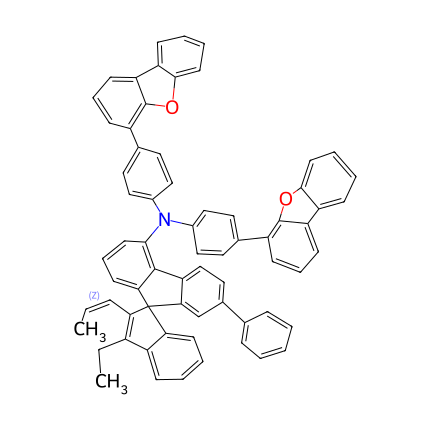 C/C=C\C1=C(CC)c2ccccc2C12c1cc(-c3ccccc3)ccc1-c1c(N(c3ccc(-c4cccc5c4oc4ccccc45)cc3)c3ccc(-c4cccc5c4oc4ccccc45)cc3)cccc12